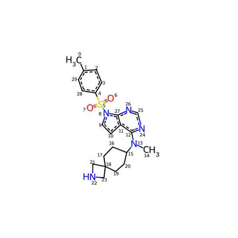 Cc1ccc(S(=O)(=O)n2ccc3c(N(C)C4CCC5(CC4)CNC5)ncnc32)cc1